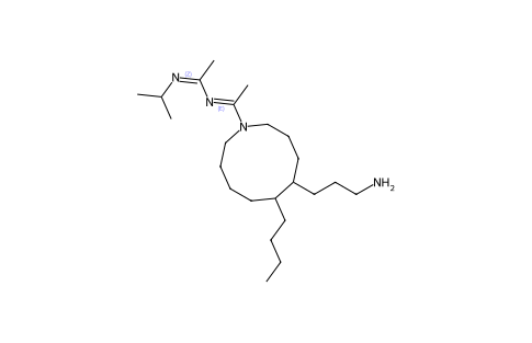 CCCCC1CCCCN(/C(C)=N/C(C)=N\C(C)C)CCCC1CCCN